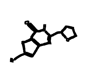 O=c1[nH]c(C2CCCO2)nc2cc(Br)sc12